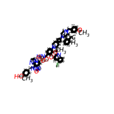 COc1ccc(CN2CCN(C3CC4(CCN(c5ccc(C(=O)NS(=O)(=O)c6cc(N=O)c(NC[C@H]7CC[C@](C)(O)CC7)c7nccn67)c(Oc6cc7c(nc6OC)CC=C7F)c5)CC4)C3)[C@H](c3ccccc3C(C)C)C2)cc1